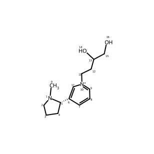 CN1CCC[C@H]1c1ccc[n+](CCC(O)CO)c1